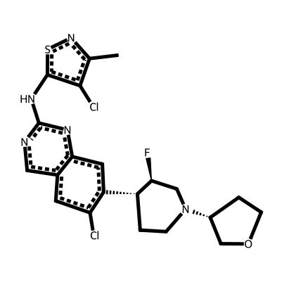 Cc1nsc(Nc2ncc3cc(Cl)c([C@H]4CCN([C@@H]5CCOC5)C[C@@H]4F)cc3n2)c1Cl